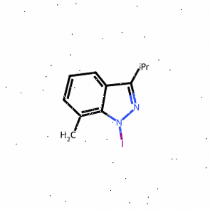 Cc1cccc2c(C(C)C)nn(I)c12